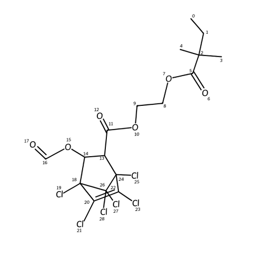 CCC(C)(C)C(=O)OCCOC(=O)C1C(OC=O)C2(Cl)C(Cl)=C(Cl)C1(Cl)C2(Cl)Cl